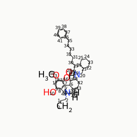 C=CCN1CC[C@]23c4c5c(O)cc(OC)c4O[C@H]2[C@@H](N(CC2CCCCC2)C(=O)CCCCCCCc2ccccc2)CC[C@H]3[C@H]1C5